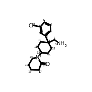 NCC1(c2cccc(Cl)c2)CCC(N2CCCCC2=O)CC1